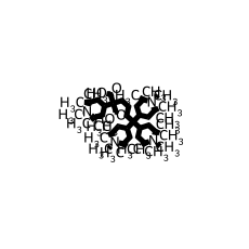 CN1C(C)(C)CC(C(CCCC(C2CC(C)(C)N(C)C(C)(C)C2)(C2CC(C)(C)N(C)C(C)(C)C2)C2CC(C)(C)N(C)C(C)(C)C2)(C(=O)O)C(=O)O)CC1(C)C